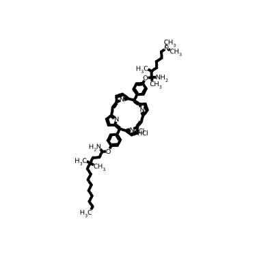 CCCCCCCCCC(C)(C)CCC(N)Oc1ccc(C2=C3C=CC(=N3)C=C3C=CC(=N3)C(c3ccc(OC(C)(N)C(C)CCCCN(C)C)cc3)=C3C=CC(=N3)C=C3C=CC2=N3)cc1.Cl.Cl